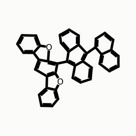 c1ccc2c(-c3c4ccccc4c(-c4c5oc6ccccc6c5cc5c4oc4ccccc45)c4ccccc34)cccc2c1